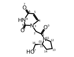 O=C(Cn1ccc(=O)[nH]c1=O)N1CCC[C@H]1CO